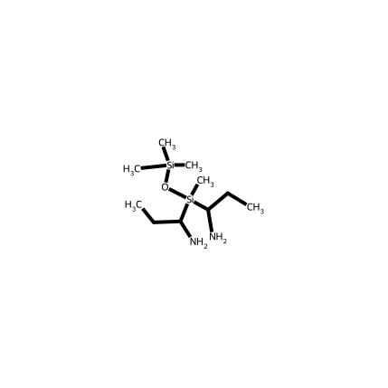 CCC(N)[Si](C)(O[Si](C)(C)C)C(N)CC